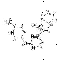 Cc1ccc(Oc2nccc(N3Cc4ccccc4[S+]3[O-])n2)cn1